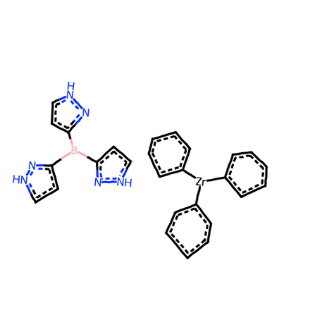 c1cc(B(c2cc[nH]n2)c2cc[nH]n2)n[nH]1.c1cc[c]([Zr]([c]2ccccc2)[c]2ccccc2)cc1